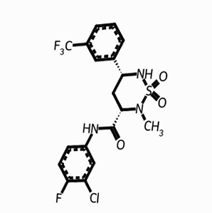 CN1[C@H](C(=O)Nc2ccc(F)c(Cl)c2)C[C@H](c2cccc(C(F)(F)F)c2)NS1(=O)=O